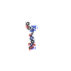 Nc1ncnc2c1c(-c1ccc(Oc3ccccc3)cc1)nn2CCCC(=O)N1CCN(c2[c]c3c(cc2)C(=O)N(C2CCONO2)C3=O)CC1